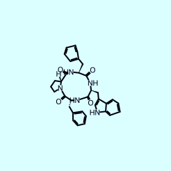 O=C1N[C@H](Cc2ccccc2)C(=O)N2CCC[C@@H]2C(=O)N[C@@H](Cc2ccccc2)C(=O)N[C@H]1Cc1c[nH]c2ccccc12